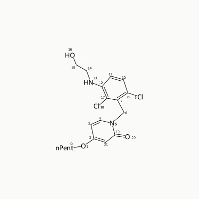 CCCCCOc1ccn(Cc2c(Cl)ccc(NCCO)c2Cl)c(=O)c1